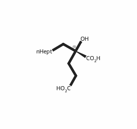 CCCCCCCC[C@](O)(CCC(=O)O)C(=O)O